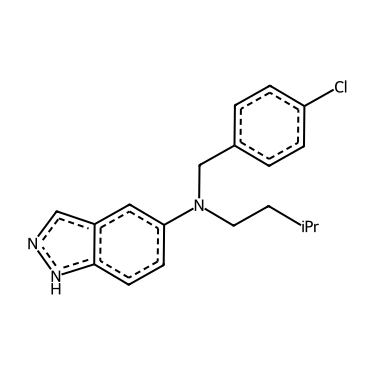 CC(C)CCN(Cc1ccc(Cl)cc1)c1ccc2[nH]ncc2c1